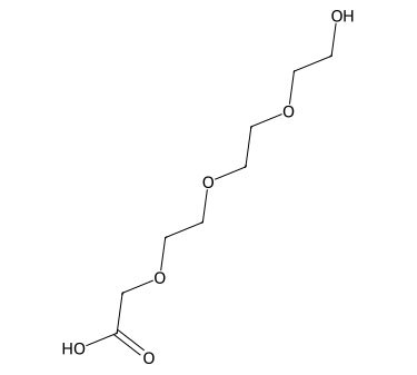 O=C(O)COCCOCCOCCO